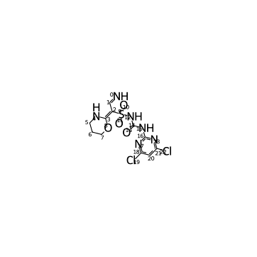 N=C/C(=C1\NCCCO1)S(=O)(=O)NC(=O)Nc1nc(Cl)cc(Cl)n1